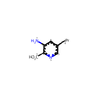 CC(C)c1cnc(C(=O)O)c(N)c1